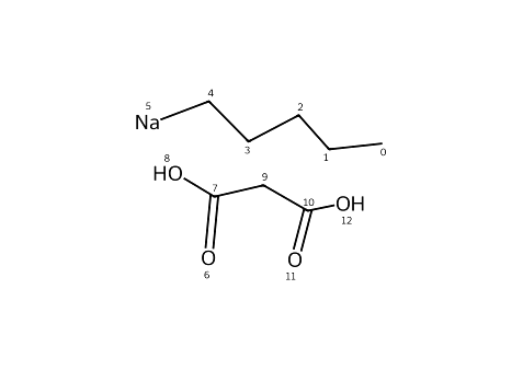 CCCC[CH2][Na].O=C(O)CC(=O)O